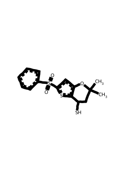 CC1(C)CC(S)c2sc(S(=O)(=O)c3ccccc3)cc2O1